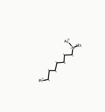 CCN(CCCCCCCC(C)C)C(C)=O